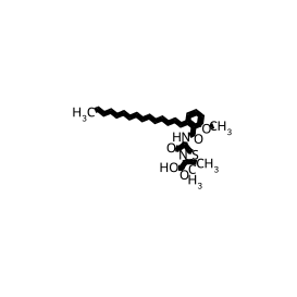 CCCCCCCCCCCCCCCc1cccc(OC)c1C(=O)NC1C(=O)N2C1SC(C)(C)C2C(=O)O